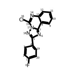 Fc1ccc(-c2nc3c4ccccc4nc(Cl)n3n2)cc1